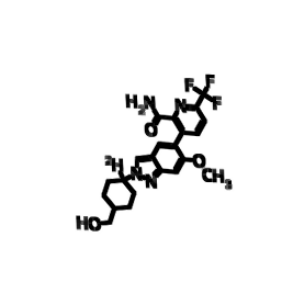 [2H]C1(n2cc3cc(-c4ccc(C(F)(F)F)nc4C(N)=O)c(OC)cc3n2)CCC(CO)CC1